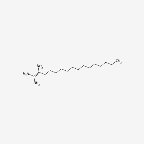 CCCCCCCCCCCCCCC(N)=C(N)N